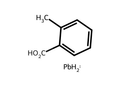 Cc1ccccc1C(=O)O.[PbH2]